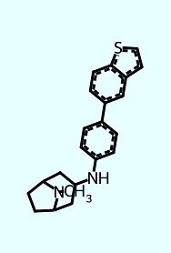 CN1C2CCC1CC(Nc1ccc(-c3ccc4sccc4c3)cc1)C2